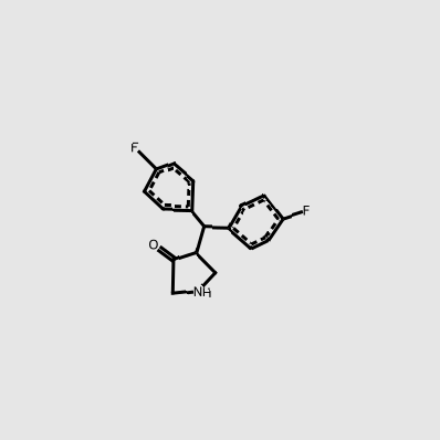 O=C1CNCC1C(c1ccc(F)cc1)c1ccc(F)cc1